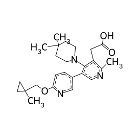 Cc1ncc(-c2ccc(OCC3(C)CC3)nc2)c(N2CCC(C)(C)CC2)c1CC(=O)O